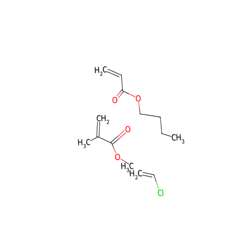 C=C(C)C(=O)OC.C=CC(=O)OCCCC.C=CCl